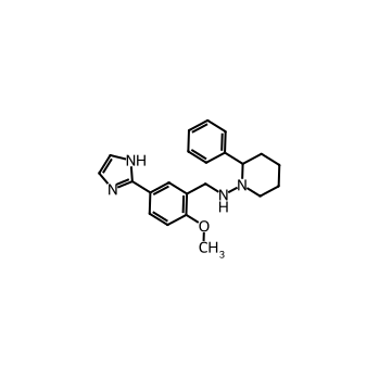 COc1ccc(-c2ncc[nH]2)cc1CNN1CCCCC1c1ccccc1